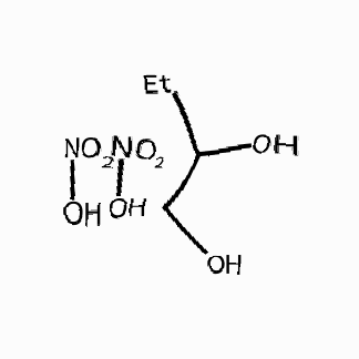 CCC(O)CO.O=[N+]([O-])O.O=[N+]([O-])O